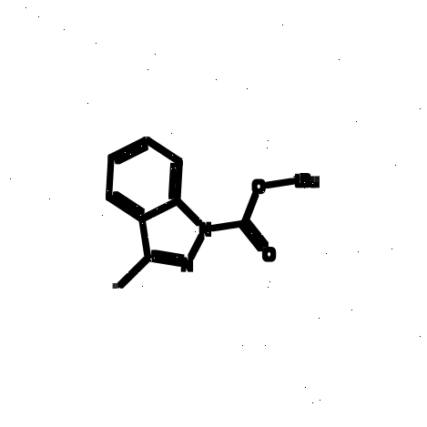 [CH2]c1nn(C(=O)OC(C)(C)C)c2ccccc12